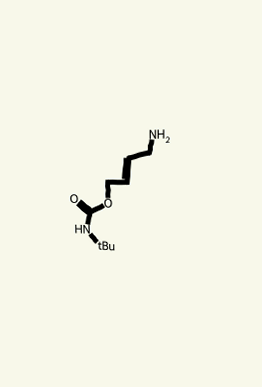 CC(C)(C)NC(=O)OCC=CCN